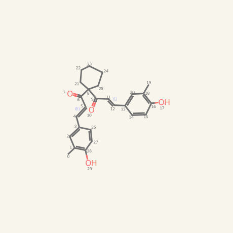 Cc1cc(/C=C/C(=O)C2(C(=O)/C=C/c3ccc(O)c(C)c3)CCCCC2)ccc1O